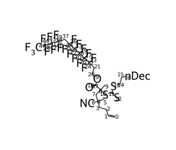 C=CCCC(C)(C#N)CC(C)(SC(=S)SCCCCCCCCCCCC)C(=O)OCCC(F)(F)C(F)(F)C(F)(F)C(F)(F)C(F)(F)CC(F)(F)C(F)(F)C(F)(F)C(F)(F)F